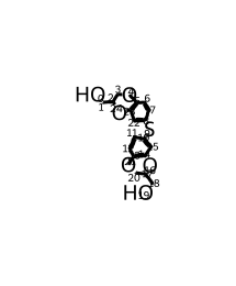 OCC1COc2ccc(Sc3ccc4c(c3)OC(CO)CO4)cc2O1